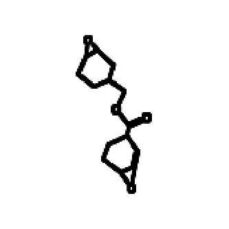 O=C(OCC1CCC2OC2C1)C1C=C2OC2CC1